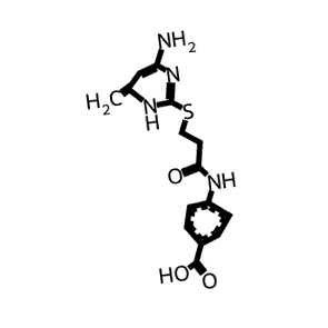 C=C1C=C(N)N=C(SCCC(=O)Nc2ccc(C(=O)O)cc2)N1